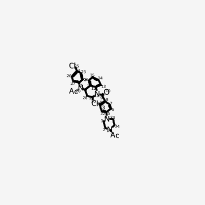 CC(=O)N1CCN(c2ccc(C(=O)N3c4ccccc4C(N(C(C)=O)c4ccc(Cl)cc4)CC3C)cc2)CC1